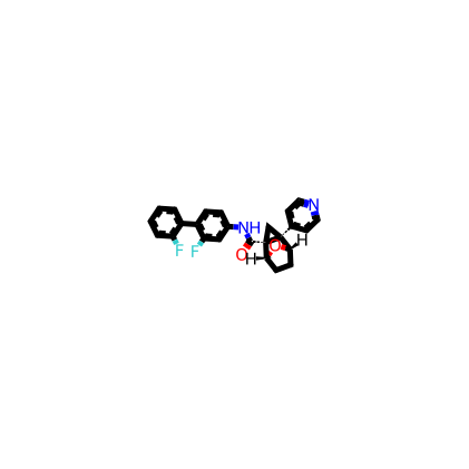 O=C(Nc1ccc(-c2ccccc2F)c(F)c1)[C@]12C[C@@]1(c1ccncc1)[C@@H]1CC[C@H]2O1